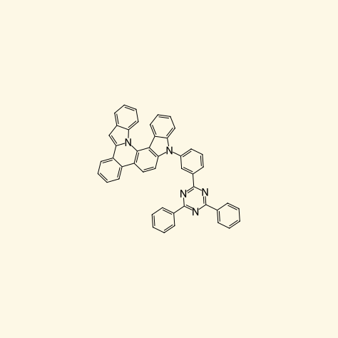 c1ccc(-c2nc(-c3ccccc3)nc(-c3cccc(-n4c5ccccc5c5c4ccc4c6ccccc6c6cc7ccccc7n6c45)c3)n2)cc1